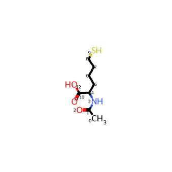 CC(=O)NC(CCCCS)C(=O)O